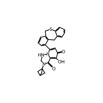 O=C1c2c(O)c(=O)cc(-c3cccc4c3Cc3ccccc3SC4)n2NCN1C12CC(C1)C2